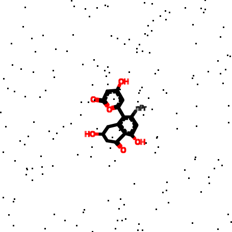 CCCc1cc(O)c2c(c1-c1cc(O)cc(=O)o1)CC(O)CC2=O